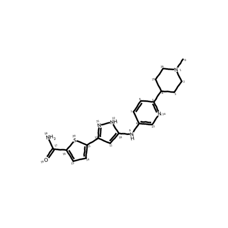 CN1CCC(c2ccc(Nc3cc(-c4ccc(C(N)=O)s4)n[nH]3)cn2)CC1